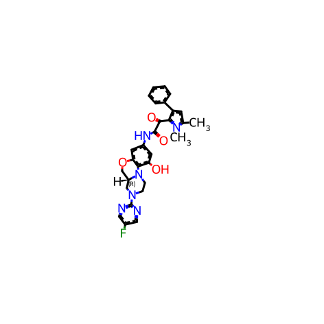 Cc1cc(-c2ccccc2)c(C(=O)C(=O)Nc2cc(O)c3c(c2)OC[C@H]2CN(c4ncc(F)cn4)CCN32)n1C